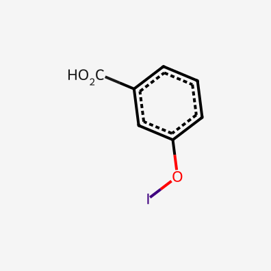 O=C(O)c1cccc(OI)c1